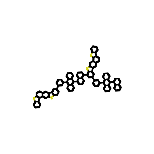 c1cc(-c2cc(-c3cccc4c(-c5c6ccccc6c(-c6cccc(-c7ccc8sc9cc%10c(ccc%11sc%12ccccc%12c%11%10)cc9c8c7)c6)c6ccccc56)cccc34)c3sc4cc5c(ccc6c7ccccc7sc56)cc4c3c2)cc(-c2c3ccccc3c(-c3cccc4ccccc34)c3ccccc23)c1